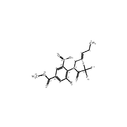 CCC=CCN(C(=O)C(F)(F)F)c1c(Br)cc(C(=O)OC)cc1[N+](=O)[O-]